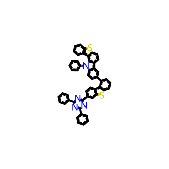 c1ccc(-c2nc(-c3ccccc3)nc(-c3ccc4c(c3)sc3cccc(-c5ccc6c(c5)c5ccc7sc8ccccc8c7c5n6-c5ccccc5)c34)n2)cc1